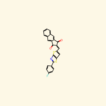 O=C1C(=Cc2cc3sc(-c4ccc(F)cc4)nc3s2)C(=O)c2cc3ccccc3cc21